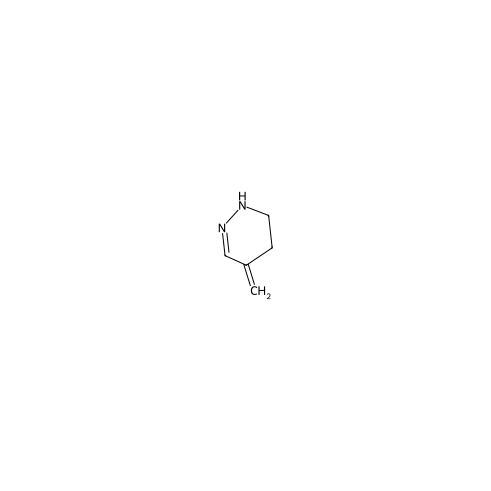 C=C1C=NNCC1